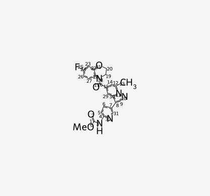 COC(=O)Nc1ccc(-c2cnn3c(C)cc(C(=O)N4CCOc5cc(F)ccc54)cc23)cn1